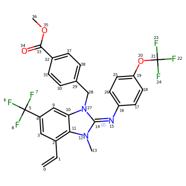 C=Cc1cc(C(F)(F)F)cc2c1n(C)/c(=N/c1ccc(OC(F)(F)F)cc1)n2Cc1ccc(C(=O)OC)cc1